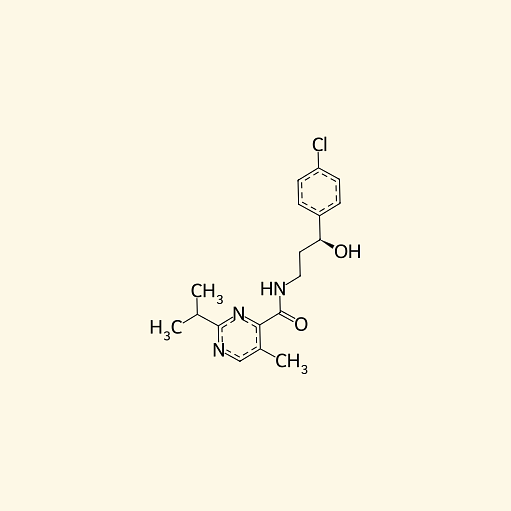 Cc1cnc(C(C)C)nc1C(=O)NCC[C@H](O)c1ccc(Cl)cc1